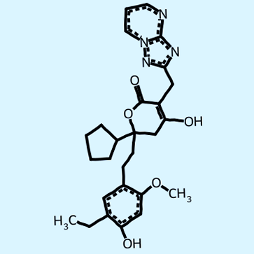 CCc1cc(CCC2(C3CCCC3)CC(O)=C(Cc3nc4ncccn4n3)C(=O)O2)c(OC)cc1O